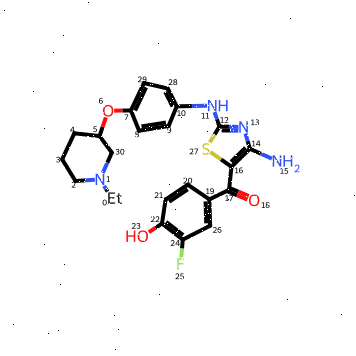 CCN1CCCC(Oc2ccc(Nc3nc(N)c(C(=O)c4ccc(O)c(F)c4)s3)cc2)C1